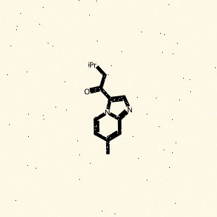 Cc1ccn2c(C(=O)CC(C)C)cnc2c1